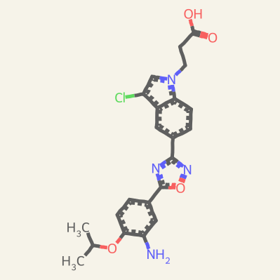 CC(C)Oc1ccc(-c2nc(-c3ccc4c(c3)c(Cl)cn4CCC(=O)O)no2)cc1N